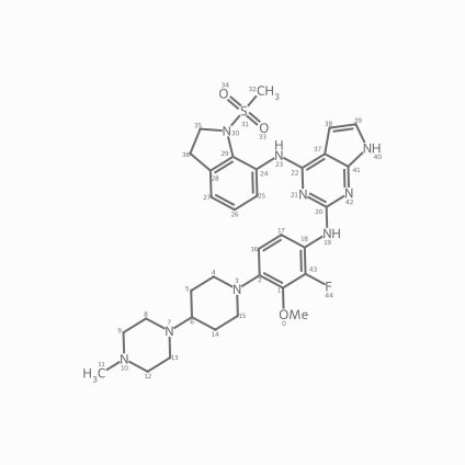 COc1c(N2CCC(N3CCN(C)CC3)CC2)ccc(Nc2nc(Nc3cccc4c3N(S(C)(=O)=O)CC4)c3cc[nH]c3n2)c1F